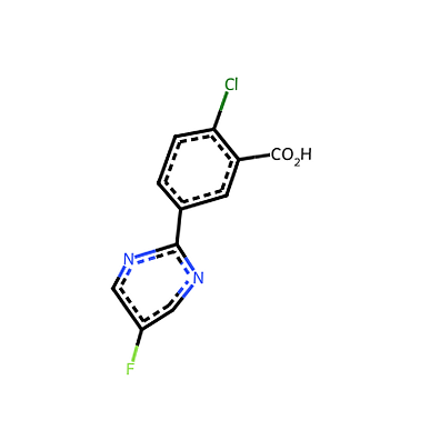 O=C(O)c1cc(-c2ncc(F)cn2)ccc1Cl